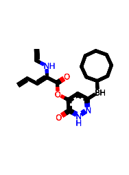 C=C/C=C(\NC=C)C(=O)Oc1cc(BC2CCCCCCC2)n[nH]c1=O